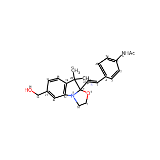 CC(=O)Nc1ccc(/C=C/C23OCCN2c2cc(CO)ccc2C3(C)C)cc1